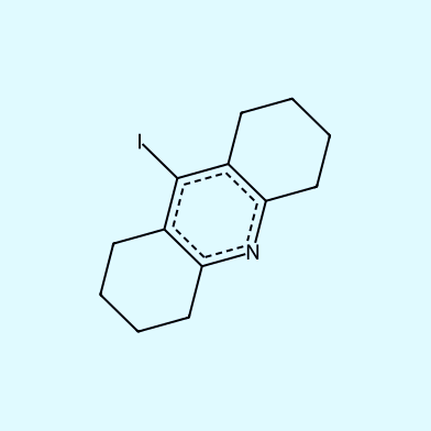 Ic1c2c(nc3c1CCCC3)CCCC2